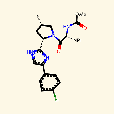 COC(=O)N[C@@H](C(=O)N1C[C@@H](C)C[C@H]1c1nc(-c2ccc(Br)cc2)c[nH]1)C(C)C